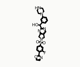 O=S(=O)(c1ccc(-c2ncco2)c(F)c1)N1Cc2cnc(C(O)c3cccc(N4CCNCC4)c3)nc2C1